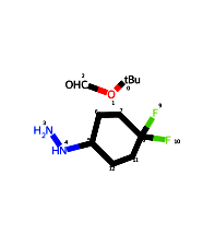 CC(C)(C)OC=O.NNC1CCC(F)(F)CC1